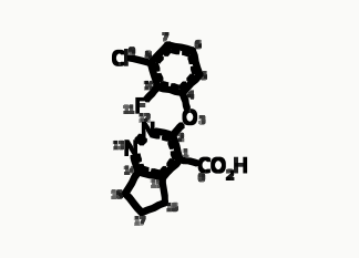 O=C(O)c1c(Oc2cccc(Cl)c2F)nnc2c1CCC2